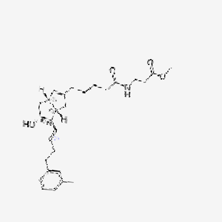 COC(=O)CCNC(=O)CCCCC1=C[C@H]2C[C@@H](O)[C@H](/C=C/CCc3cccc(C)c3)[C@H]2C1